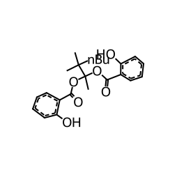 CCCCC(C)(C)C(C)(OC(=O)c1ccccc1O)OC(=O)c1ccccc1O